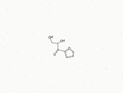 O=C(c1ccco1)C(O)CO